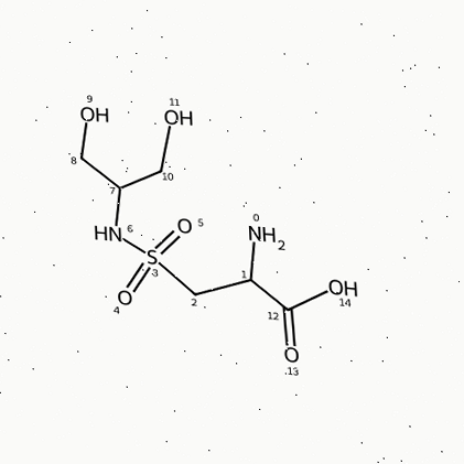 NC(CS(=O)(=O)NC(CO)CO)C(=O)O